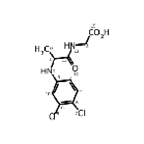 CC(Nc1ccc(Cl)c(Cl)c1)C(=O)NCC(=O)O